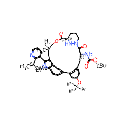 CCn1c(-c2cccnc2[C@H](C)OC)c2c3cc(ccc31)-c1cc(cc(O[Si](C(C)C)(C(C)C)C(C)C)c1)C[C@H](NC(=O)OC(C)(C)C)C(=O)N1CCC[C@H](N1)C(=O)OCC(C)(C)C2